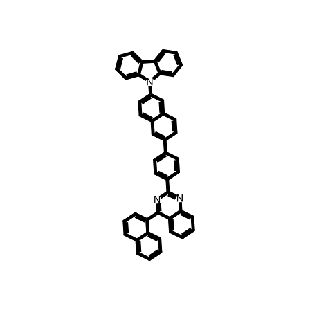 c1ccc2c(-c3nc(-c4ccc(-c5ccc6cc(-n7c8ccccc8c8ccccc87)ccc6c5)cc4)nc4ccccc34)cccc2c1